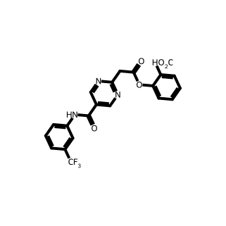 O=C(Cc1ncc(C(=O)Nc2cccc(C(F)(F)F)c2)cn1)Oc1ccccc1C(=O)O